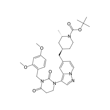 COc1ccc(CN2C(=O)CCN(c3cnn4ccc(C[C@@H]5CCN(C(=O)OC(C)(C)C)[C@@H](C)C5)cc34)C2=O)c(OC)c1